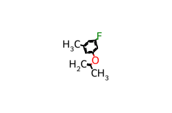 C=C(C)Oc1cc(C)cc(F)c1